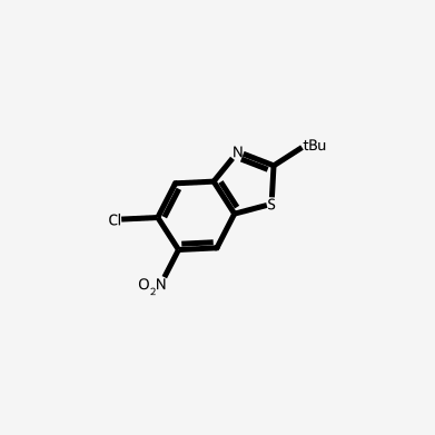 CC(C)(C)c1nc2cc(Cl)c([N+](=O)[O-])cc2s1